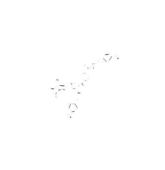 C[C@@H](O)[C@H]1C(=O)N2C(C(=O)O)=C(S[C@H]3C[C@@H](C(=O)N4CCN(C(=N)NC(=O)OCc5ccc([N+](=O)[O-])cc5)CC4)N(C(=O)OCc4ccc([N+](=O)[O-])cc4)C3)[C@H](C)[C@H]12